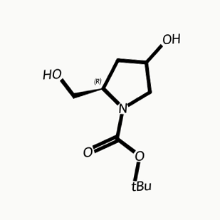 CC(C)(C)OC(=O)N1CC(O)C[C@@H]1CO